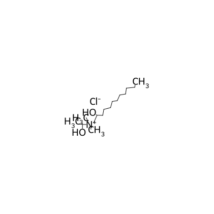 CCCCCCCCCCC(O)C[N+](C)(C)C(C)O.[Cl-]